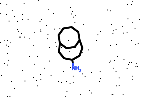 NC1CCC2CCCCC(CC1)CC2